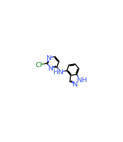 Clc1nccc(Nc2cccc3[nH]ncc23)n1